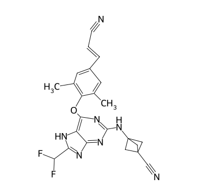 Cc1cc(/C=C/C#N)cc(C)c1Oc1nc(NC23CC(C#N)(C2)C3)nc2nc(C(F)F)[nH]c12